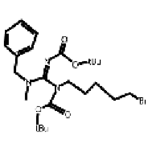 CN(Cc1ccccc1)C(=NC(=O)OC(C)(C)C)N(CCCCCBr)C(=O)OC(C)(C)C